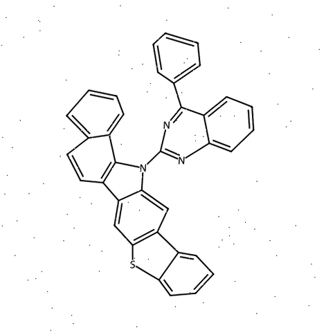 c1ccc(-c2nc(-n3c4cc5c(cc4c4ccc6ccccc6c43)sc3ccccc35)nc3ccccc23)cc1